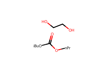 CCCOC(=O)OCC(C)C.OCCO